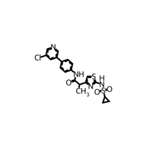 CC(C(=O)Nc1ccc(-c2cncc(Cl)c2)cc1)c1csc(NS(=O)(=O)C2CC2)n1